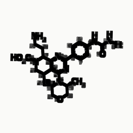 CCNC(=O)Nc1ccc(-c2nc3c(c(N4CCOC[C@@H]4C)n2)C(C(C)(C)C)CN(C(=O)O)C3CCN)cc1